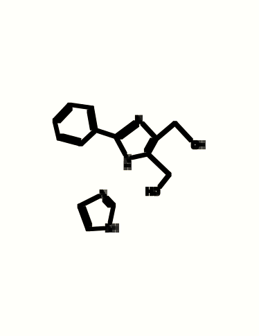 OCc1nc(-c2ccccc2)[nH]c1CO.c1c[nH]cn1